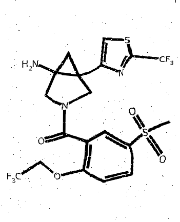 CS(=O)(=O)c1ccc(OCC(F)(F)F)c(C(=O)N2CC3(N)CC3(c3csc(C(F)(F)F)n3)C2)c1